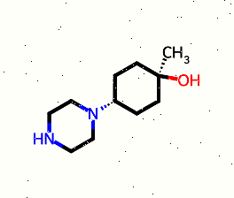 C[C@]1(O)CC[C@H](N2CCNCC2)CC1